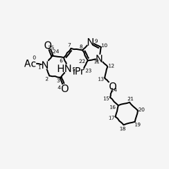 CC(=O)N1CC(=O)NC(=Cc2ncn(CCOCC3CCCCC3)c2C(C)C)C1=O